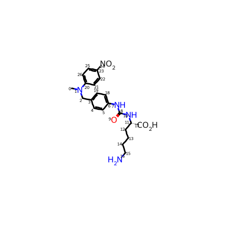 CN(Cc1ccc(NC(=O)N[C@@H](CCCCN)C(=O)O)cc1)c1ccc([N+](=O)[O-])cc1